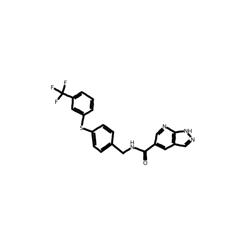 O=C(NCc1ccc(Sc2cccc(C(F)(F)F)c2)cc1)c1cnc2[nH]ncc2c1